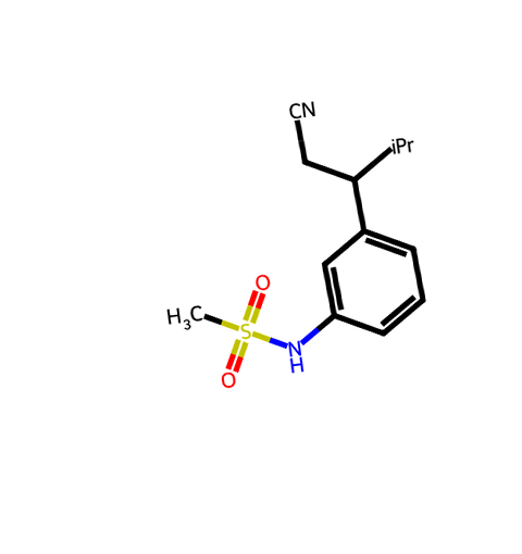 CC(C)C(CC#N)c1cccc(NS(C)(=O)=O)c1